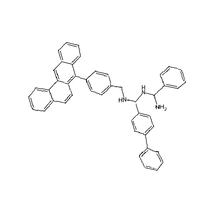 NC(NC(NCc1ccc(-c2c3ccccc3cc3c2ccc2ccccc23)cc1)c1ccc(-c2ccccc2)cc1)c1ccccc1